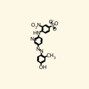 Cc1cc(O)ccc1N=Nc1ccc(Nc2ccc(S(=O)(=O)[O-])cc2[N+](=O)[O-])cc1.[Na+]